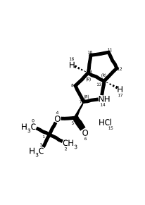 CC(C)(C)OC(=O)[C@H]1C[C@H]2CCC[C@H]2N1.Cl